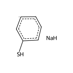 Sc1c[c]ccc1.[NaH]